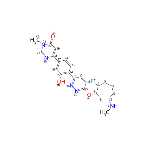 CNC1CCCC(F)[C@@H](Oc2ccc(-c3ccc(-c4cc(=O)n(C)cn4)cc3O)nn2)C1